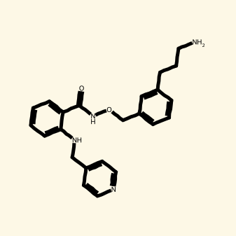 NCCCc1cccc(CONC(=O)c2ccccc2NCc2ccncc2)c1